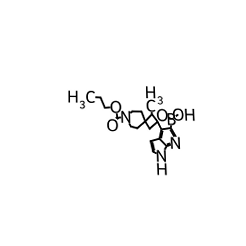 CCCOC(=O)N1CCC2(CC1)CC1(OB(O)c3cnc4[nH]ccc4c31)C2C